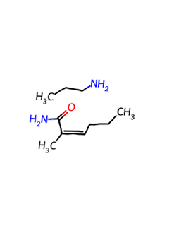 CCCC=C(C)C(N)=O.CCCN